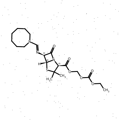 CCOC(=O)OCOC(=O)[C@@H]1N2C(=O)[C@H](N=CN3CCCCCCC3)[C@H]2SC1(C)C